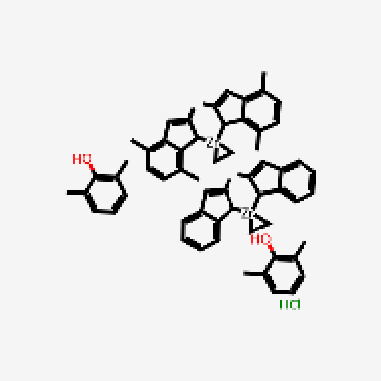 CC1=Cc2c(C)ccc(C)c2[CH]1[Zr]1([CH]2C(C)=Cc3c(C)ccc(C)c32)[CH2][CH2]1.CC1=Cc2ccccc2[CH]1[Zr]1([CH]2C(C)=Cc3ccccc32)[CH2][CH2]1.Cc1cccc(C)c1O.Cc1cccc(C)c1O.Cl